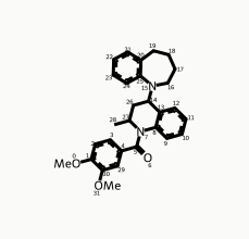 COc1ccc(C(=O)N2c3ccccc3C(N3CCCCc4ccccc43)CC2C)cc1OC